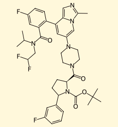 Cc1ncc2c(-c3ccc(F)cc3C(=O)N(CC(F)F)C(C)C)cc(N3CCN(C(=O)[C@@H]4CCC(c5cccc(F)c5)N4C(=O)OC(C)(C)C)CC3)cn12